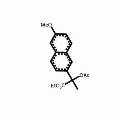 CCOC(=O)C(C)(OC(C)=O)c1ccc2cc(OC)ccc2c1